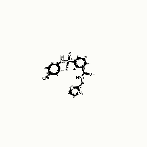 O=C(NCc1nccs1)c1cccc(S(=O)(=O)Nc2ccc(Cl)cc2)c1